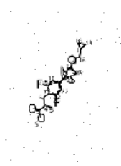 COC(=O)C(C)Cc1c(F)cc(-c2nc(OCC3CC3)cs2)cc1F